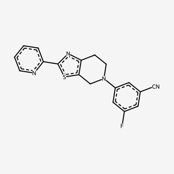 N#Cc1cc(F)cc(N2CCc3nc(-c4ccccn4)sc3C2)c1